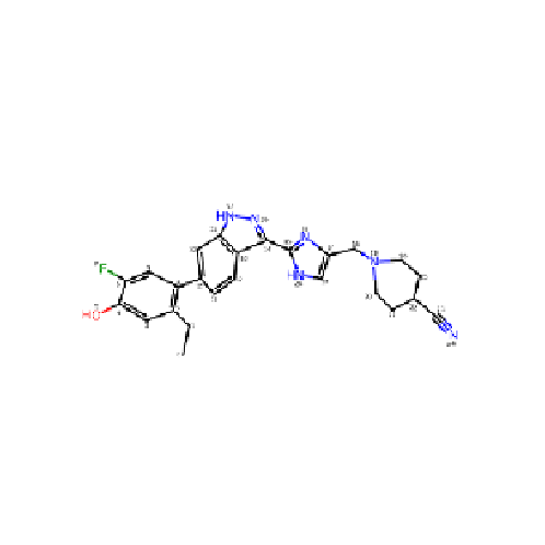 CCc1cc(O)c(F)cc1-c1ccc2c(-c3nc(CN4CCC(C#N)CC4)c[nH]3)n[nH]c2c1